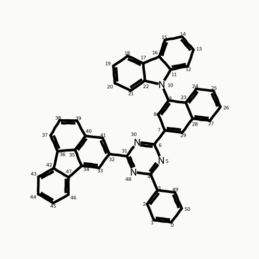 c1ccc(-c2nc(-c3cc(-n4c5ccccc5c5ccccc54)c4ccccc4c3)nc(-c3cc4c5c(cccc5c3)-c3ccccc3-4)n2)cc1